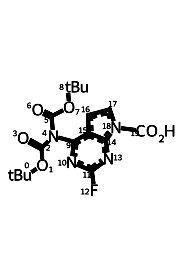 CC(C)(C)OC(=O)N(C(=O)OC(C)(C)C)c1nc(F)nc2c1ccn2C(=O)O